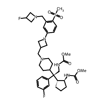 COC(=O)NC[C@@](c1cccc(F)c1)(C1CCN(CC2CN(c3ccc(S(C)(=O)=O)c(CN4CC(F)C4)c3)C2)CC1)[C@H]1CCC[C@@H]1NC(=O)OC